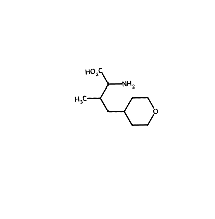 CC(CC1CCOCC1)C(N)C(=O)O